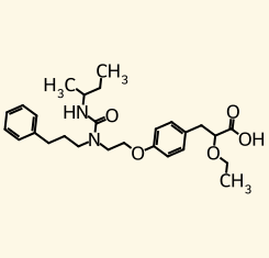 CCOC(Cc1ccc(OCCN(CCCc2ccccc2)C(=O)NC(C)CC)cc1)C(=O)O